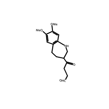 COc1cc2c(cc1OC)NCC(C(=O)CCC=O)CC2